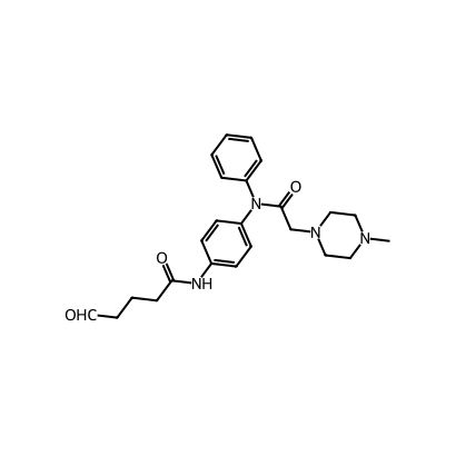 CN1CCN(CC(=O)N(c2ccccc2)c2ccc(NC(=O)CCCC=O)cc2)CC1